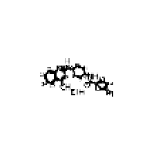 Cc1cc(NC2CCC(NC(=O)c3ccc(Br)o3)CC2)nc2ccccc12.Cl